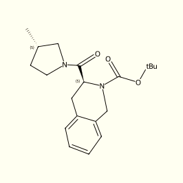 C[C@H]1CCN(C(=O)[C@@H]2Cc3ccccc3CN2C(=O)OC(C)(C)C)C1